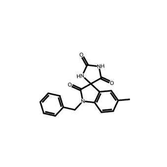 Cc1ccc2c(c1)C1(NC(=O)NC1=O)C(=O)N2Cc1ccccc1